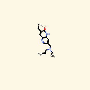 C=CCN(CC)Cc1cnc2cc(CC)c(=O)[nH]c2c1